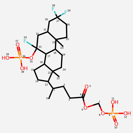 CC(CCC(=O)OCOP(=O)(O)O)C1CCC2C3C(CCC12C)C1(C)CCC(F)(F)CC1CC3(F)OP(=O)(O)O